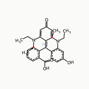 CCN(CC)C1=CC(=O)C=C/C1=C(/c1ccccc1C(=O)O)c1ccc(O)cc1N(CC)CC